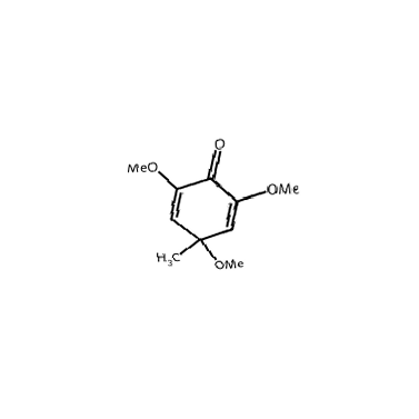 COC1=CC(C)(OC)C=C(OC)C1=O